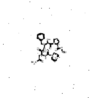 CC(C)(C)OC(=O)[C@@H]1CCCN1C(=O)C(O)[C@H](Cc1ccccc1)NC(=O)[C@H](CC(N)=O)NC(=O)N1C=CN=CC1